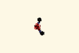 CC1=C(OC/C=C/c2ccccc2)C(=O)C(OC/C=C/c2ccccc2)CO1